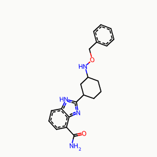 NC(=O)c1cccc2[nH]c(C3CCCC(NOCc4ccccc4)C3)nc12